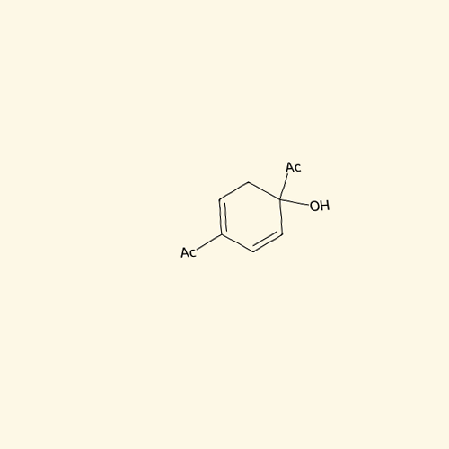 CC(=O)C1=CCC(O)(C(C)=O)C=C1